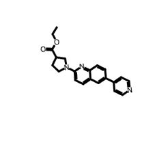 CCOC(=O)C1CCN(c2ccc3cc(-c4ccncc4)ccc3n2)C1